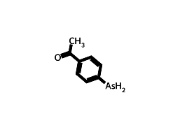 CC(=O)c1ccc([AsH2])cc1